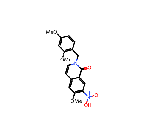 COc1ccc(Cn2ccc3cc(OC)c([NH+]([O-])O)cc3c2=O)c(OC)c1